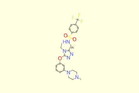 CCn1c(Oc2cccc(N3CCN(C)CC3)c2)nnc1[C@@H](C)NS(=O)(=O)c1ccc(C(F)(F)F)cc1